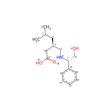 CC(C)C[C@@H](CN[C@H](CO)c1ccccc1)CC(=O)O